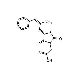 CC(=Cc1ccccc1)C=C1SC(=O)N(CC(=O)O)C1=O